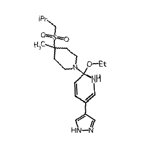 CCOC1(N2CCC(C)(S(=O)(=O)CC(C)C)CC2)C=CC(c2cn[nH]c2)=CN1